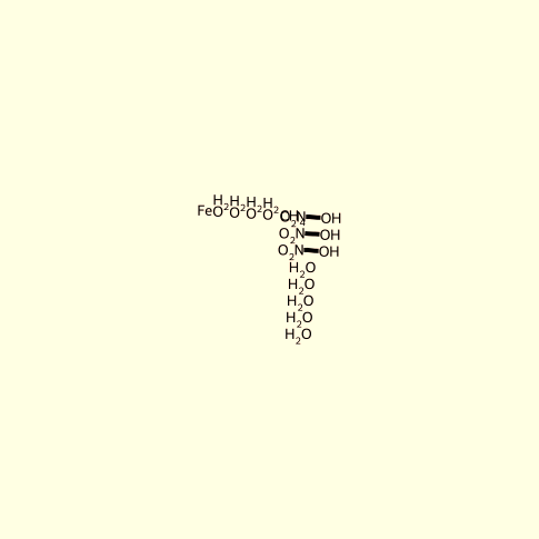 C.O.O.O.O.O.O.O.O.O.O=[N+]([O-])O.O=[N+]([O-])O.O=[N+]([O-])O.[Fe]